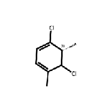 CC1=CC=C(Cl)[C@H](C)C1Cl